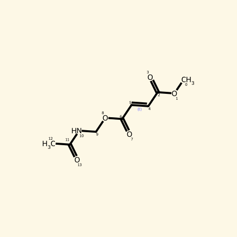 COC(=O)/C=C/C(=O)OCNC(C)=O